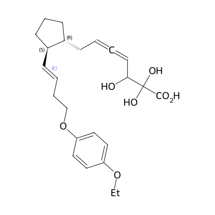 CCOc1ccc(OCC/C=C/[C@H]2CCC[C@@H]2CC=C=CC(O)C(O)(O)C(=O)O)cc1